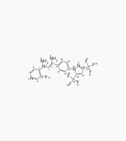 N/C(=C\N(N)c1ccncc1F)c1ccc(-n2nc(C(F)(F)F)cc2C(F)(F)F)cc1